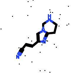 N#C/C=C/c1cn2c(n1)CCNC2